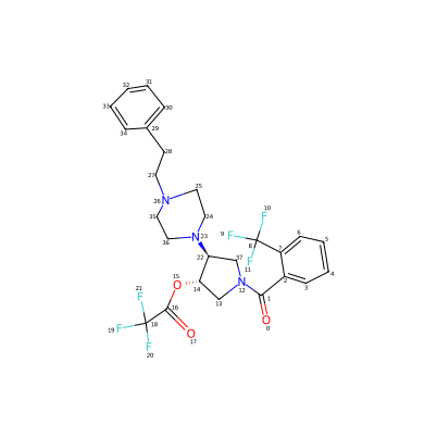 O=C(c1ccccc1C(F)(F)F)N1C[C@H](OC(=O)C(F)(F)F)[C@@H](N2CCN(CCc3ccccc3)CC2)C1